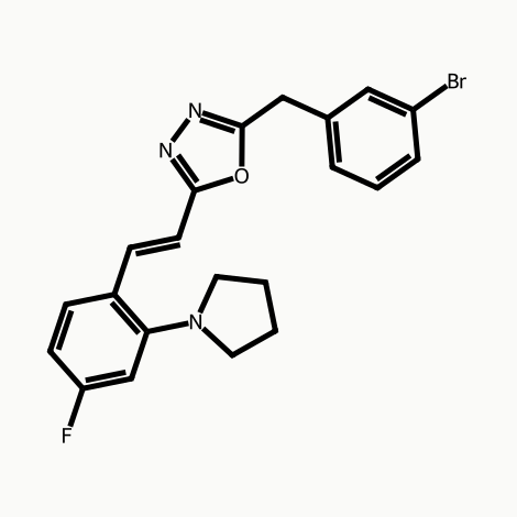 Fc1ccc(/C=C/c2nnc(Cc3cccc(Br)c3)o2)c(N2CCCC2)c1